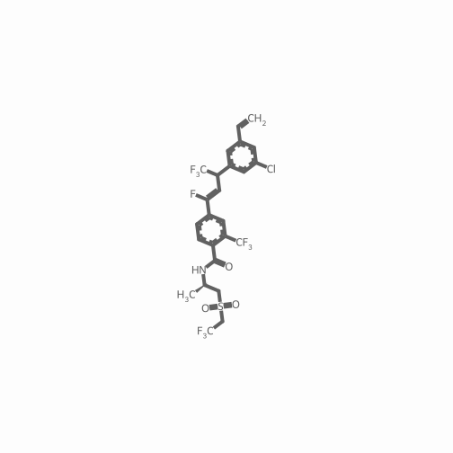 C=Cc1cc(Cl)cc(C(/C=C(\F)c2ccc(C(=O)N[C@H](C)CS(=O)(=O)CC(F)(F)F)c(C(F)(F)F)c2)C(F)(F)F)c1